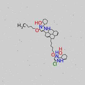 CCCCCCOC1=NC(C2CCCCC2O)NC(C2CC=C3C(CCCCCCOC4C=C(Cl)NC(C5C=CCCC5O)N4)CC4C=CCC5CCC2C3C45)=C1